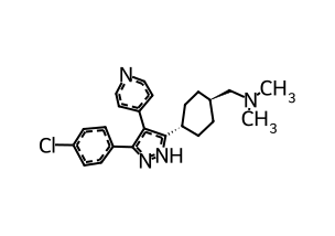 CN(C)C[C@H]1CC[C@H](c2[nH]nc(-c3ccc(Cl)cc3)c2-c2ccncc2)CC1